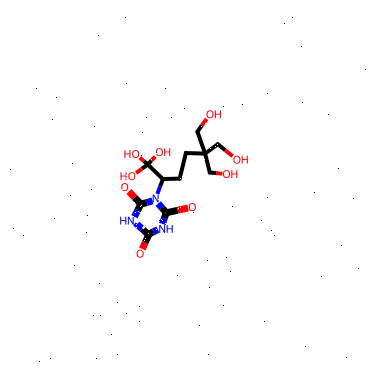 O=c1[nH]c(=O)n(C(CCC(CO)(CO)CO)C(O)(O)O)c(=O)[nH]1